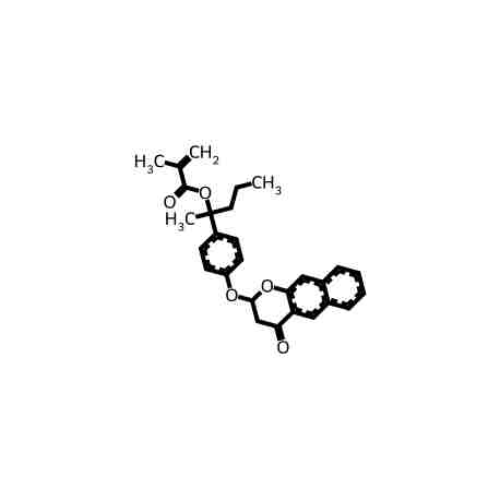 C=C(C)C(=O)OC(C)(CCC)c1ccc(OC2CC(=O)c3cc4ccccc4cc3O2)cc1